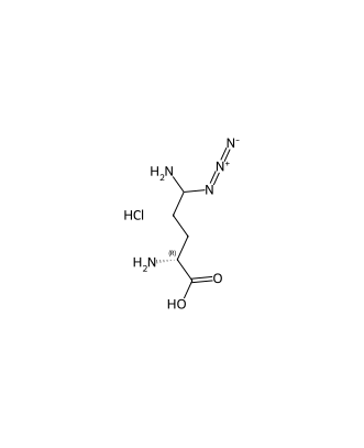 Cl.[N-]=[N+]=NC(N)CC[C@@H](N)C(=O)O